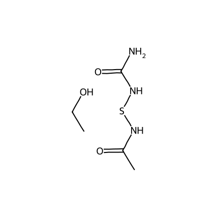 CC(=O)NSNC(N)=O.CCO